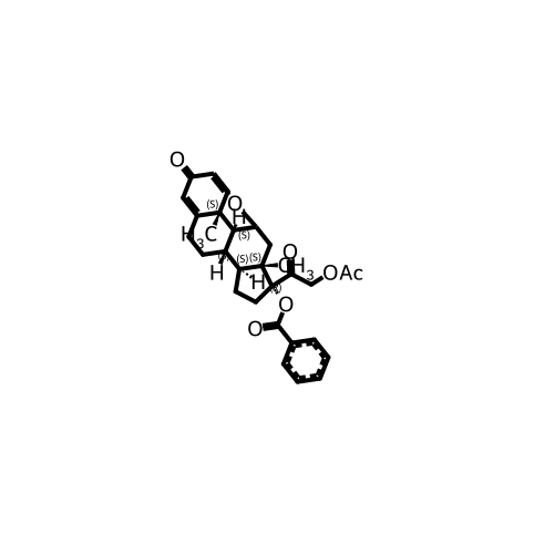 CC(=O)OCC(=O)[C@@]1(OC(=O)c2ccccc2)CC[C@H]2[C@@H]3CCC4=CC(=O)C5=C[C@]4(C)[C@H]3C(C[C@@]21C)O5